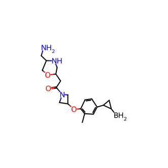 BC1CC1c1ccc(OC2CN(C(=O)CC3CNC(CN)CO3)C2)c(C)c1